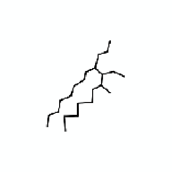 CCCCCCCC[C](CCC)C(CC)C(C)CCCCCC